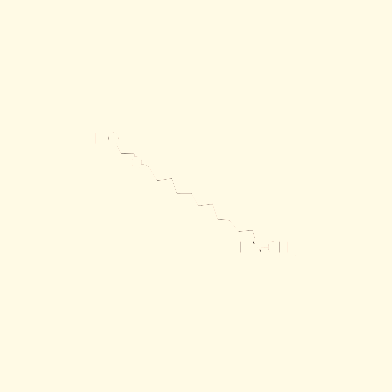 CNCCCCCCCCCCCOCCO